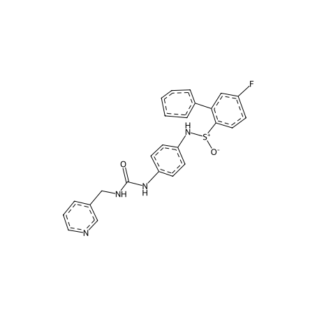 O=C(NCc1cccnc1)Nc1ccc(N[S+]([O-])c2ccc(F)cc2-c2ccccc2)cc1